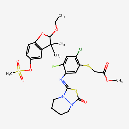 CCOC1Oc2ccc(OS(C)(=O)=O)cc2C1(C)C.COC(=O)CSc1cc(/N=c2\sc(=O)n3n2CCCC3)c(F)cc1Cl